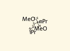 CCCC(CCCC(C)C)(COC)COC